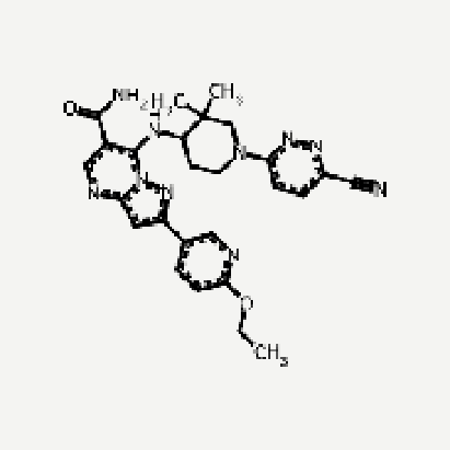 CCOc1ccc(-c2cc3ncc(C(N)=O)c(N[C@@H]4CCN(c5ccc(C#N)nn5)CC4(C)C)n3n2)cn1